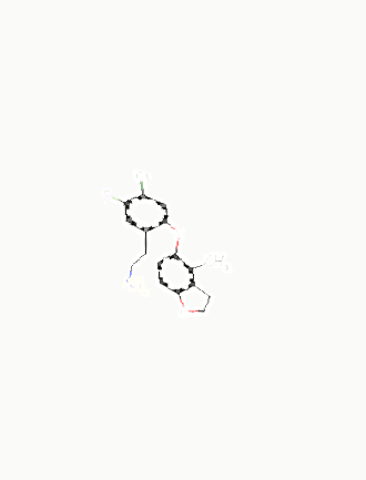 Cc1c(Oc2cc(Cl)c(F)cc2CCN)ccc2c1CCO2